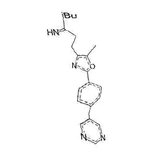 CCC(C)C(=N)CCc1nc(-c2ccc(-c3cncnc3)cc2)oc1C